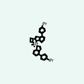 CC(C)c1ccc(-c2cccc3c2C=C[CH]3[Hf]([CH3])([CH3])(=[C]2CCC2)[CH]2C=Cc3c(-c4ccc(C(C)C)cc4)cccc32)cc1